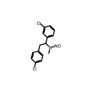 CN(N=O)C(Cc1ccc(Cl)cc1)c1cccc(Cl)c1